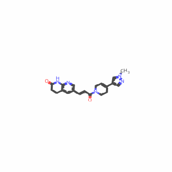 Cn1cc(C2=CCN(C(=O)/C=C/c3cnc4c(c3)CCC(=O)N4)CC2)cn1